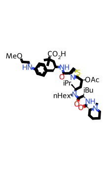 CCCCCCN(C(=O)[C@@H](NC(=O)[C@H]1CCCCN1C)[C@@H](C)CC)[C@H](C[C@@H](OC(C)=O)c1nc(C(=O)N[C@@H](Cc2ccc(NCCOC)cc2)CC(C)(C)C(=O)O)cs1)C(C)C